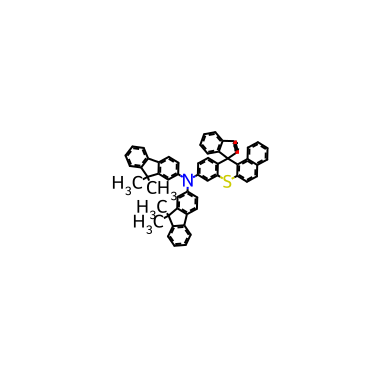 CC1(C)c2ccccc2-c2ccc(N(c3ccc4c(c3)Sc3ccc5ccccc5c3C43c4ccccc4-c4ccccc43)c3ccc4c(c3)C(C)(C)c3ccccc3-4)cc21